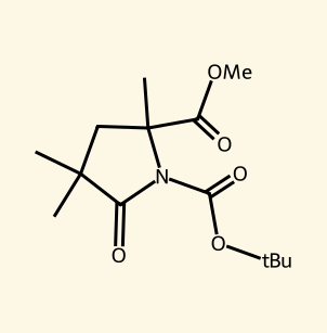 COC(=O)C1(C)CC(C)(C)C(=O)N1C(=O)OC(C)(C)C